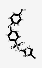 Cc1csc(NS(=O)(=O)c2ccc(Oc3ccc(F)cc3)cc2)n1